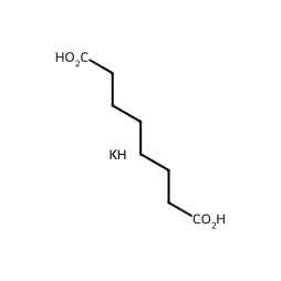 O=C(O)CCCCCCC(=O)O.[KH]